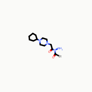 CCC(=O)N(N)C(=O)CN1CCN(C2CCCCC2)CC1